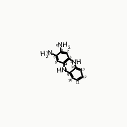 Nc1cc2c(cc1N)Nc1ccccc1N2